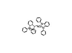 CN(c1ccccc1)C1C=CC=CC1C(CC[SiH]1N(c2ccccc2)c2ccccc2N1c1ccccc1)c1ccccc1